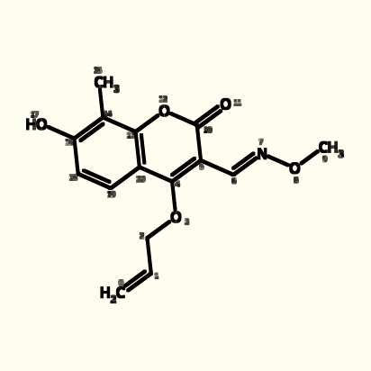 C=CCOc1c(/C=N/OC)c(=O)oc2c(C)c(O)ccc12